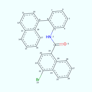 O=C(Nc1ccccc1-c1cccc2ccccc12)c1ccc(Br)c2ccccc12